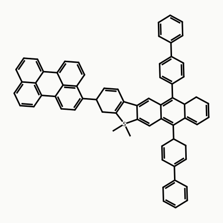 CS1(C)C2=C(C=CC(c3ccc4c5cccc6cccc(c7cccc3c74)c65)C2)c2cc3c(cc21)=C(C1C=CC(c2ccccc2)=CC1)C1=CC=CCC1C=3c1ccc(-c2ccccc2)cc1